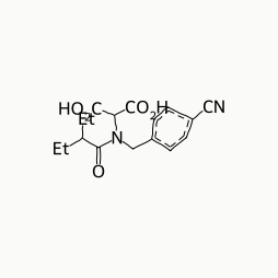 CCC(CC)C(=O)N(Cc1ccc(C#N)cc1)C(C(=O)O)C(=O)O